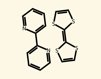 C1=CSC(=C2SC=CS2)S1.c1ccc(-c2ccccn2)nc1